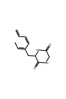 C=C/C=C\C(=C/C)CC1NC(=O)CNC1=O